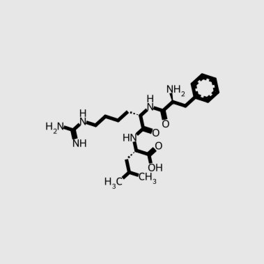 CC(C)C[C@H](NC(=O)[C@H](CCCCNC(=N)N)NC(=O)[C@@H](N)Cc1ccccc1)C(=O)O